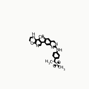 Cc1c(-c2cc3nc(Nc4ccc([C@@H](C)S(C)(=O)=O)cc4)ncc3cc2F)cnc2c1NCCO2